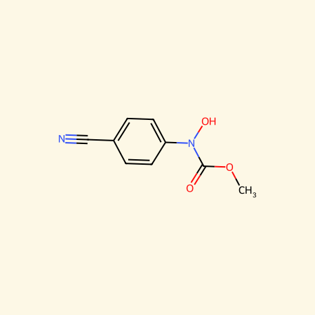 COC(=O)N(O)c1ccc(C#N)cc1